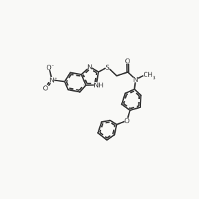 CN(C(=O)CSc1nc2cc([N+](=O)[O-])ccc2[nH]1)c1ccc(Oc2ccccc2)cc1